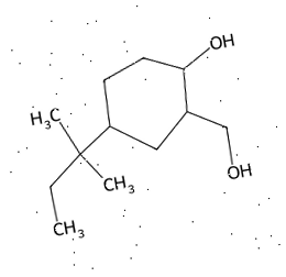 CCC(C)(C)C1CCC(O)C(CO)C1